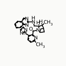 Cc1ccc(-n2nccn2)c(C(=O)N2C3CC(C3)[C@@H](C)[C@H]2CNc2ncc3ccccc3n2)n1